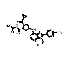 CCn1c(-c2cnc(C)nc2)nc2c(NC3C[C@H](C(=O)NC(C)C)N(C(=O)C4CC4)C3)ncnc21